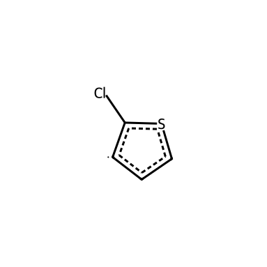 Clc1[c]ccs1